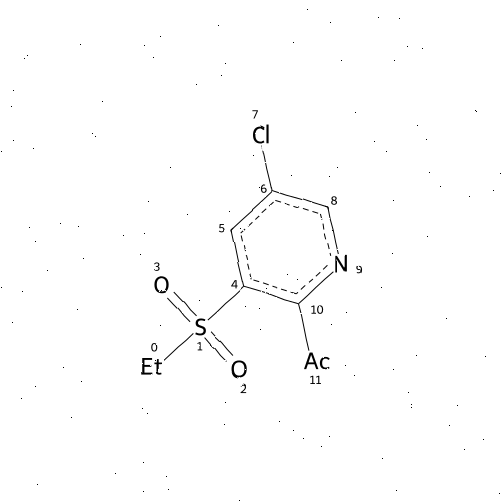 CCS(=O)(=O)c1cc(Cl)cnc1C(C)=O